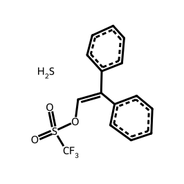 O=S(=O)(OC=C(c1ccccc1)c1ccccc1)C(F)(F)F.S